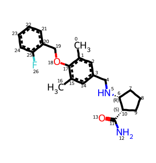 Cc1cc(CN[C@@H]2CCC[C@@H]2C(N)=O)cc(C)c1OCc1ccccc1F